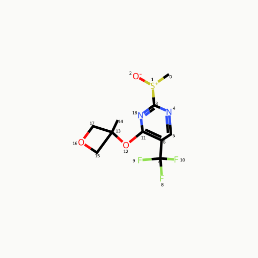 C[S+]([O-])c1ncc(C(F)(F)F)c(OC2(C)COC2)n1